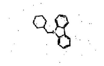 c1ccc2c(c1)c1ccccc1n2CC1CCCCC1